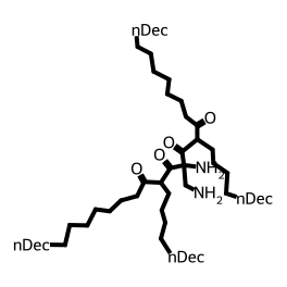 CCCCCCCCCCCCCCCCCC(=O)C(CCCCCCCCCCCCCC)C(=O)C(N)(CN)C(=O)C(CCCCCCCCCCCCCC)C(=O)CCCCCCCCCCCCCCCCC